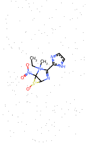 CC[N+]1(C)C(c2ncc[nH]2)=NC2[S+]([O-])C21[N+](=O)[O-]